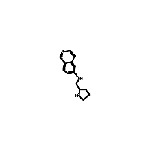 c1cc2cc(NCC3CCCN3)ccc2cn1